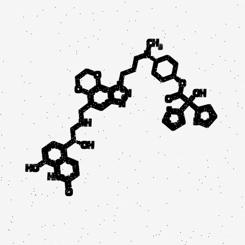 CN(CCCn1nnc2cc(CNC[C@H](O)c3ccc(O)c4[nH]c(=O)ccc34)c3c(c21)OCCO3)[C@H]1CC[C@H](OC(=O)C(O)(c2cccs2)c2cccs2)CC1